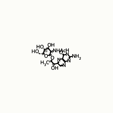 CC(=O)N[C@H]1[C@H](O[C@@H](C)[C@@H](O)c2cnc3nc(N)[nH]c(=O)c3n2)O[C@H](CO)[C@@H](O)[C@@H]1O